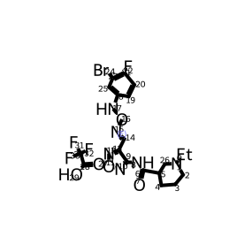 CCN1CCCC(C(=O)Nc2nonc2/C=N/ONc2ccc(F)c(Br)c2)C1.O=C(O)C(F)(F)F